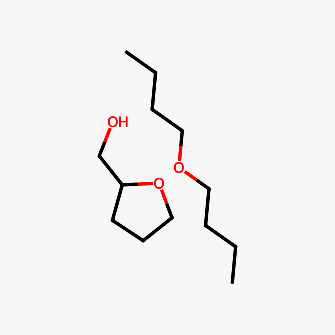 CCCCOCCCC.OCC1CCCO1